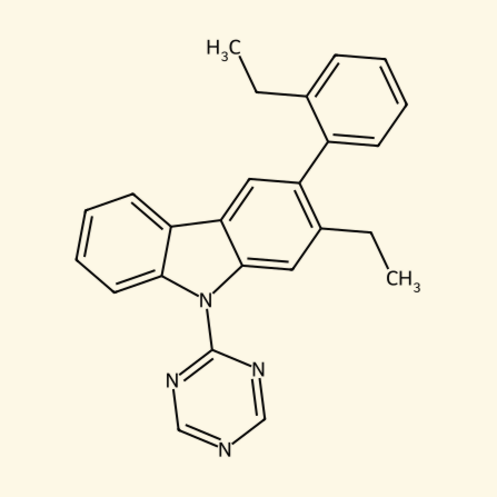 CCc1ccccc1-c1cc2c3ccccc3n(-c3ncncn3)c2cc1CC